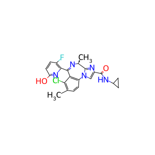 Cc1ccc2c(c1Cl)C(c1nc(O)ccc1F)=N[C@@H](C)c1nc(C(=O)NC3CC3)cn1-2